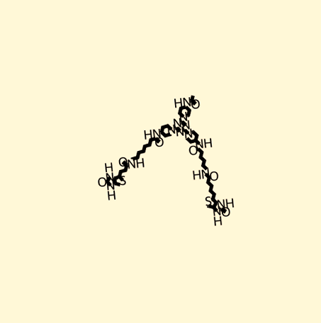 CC(=O)NC1CCN(c2nc(N3CCC(NC(=O)CCCCCCCNC(=O)CCC4SCC5NC(=O)NC54)CC3)nc(N3CCC(NC(=O)CCCCCNC(=O)CCCCC4SCC5NC(=O)NC54)CC3)n2)CC1